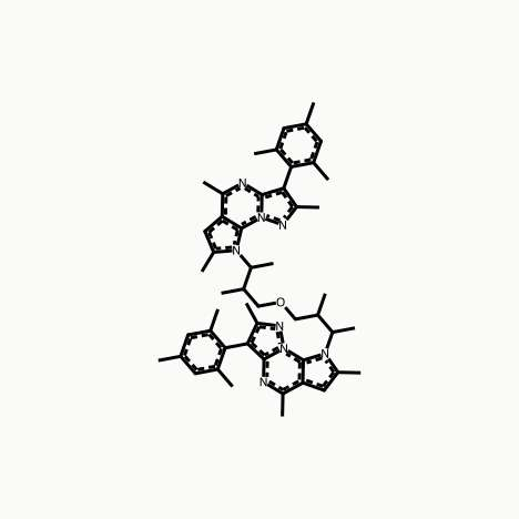 Cc1cc(C)c(-c2c(C)nn3c2nc(C)c2cc(C)n(C(C)C(C)COCC(C)C(C)n4c(C)cc5c(C)nc6c(-c7c(C)cc(C)cc7C)c(C)nn6c54)c23)c(C)c1